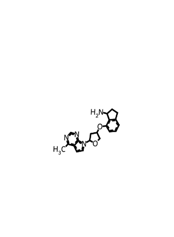 Cc1ncnc2c1ccn2C1CC(Oc2cccc3c2C(N)CC3)CO1